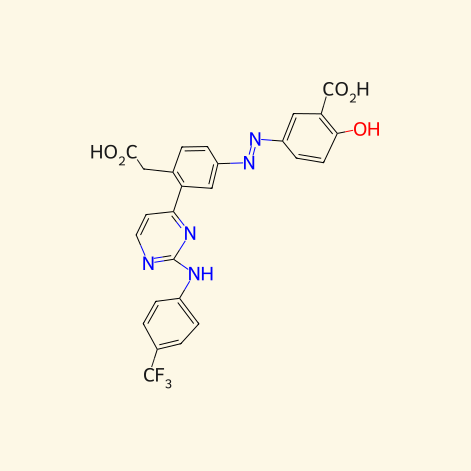 O=C(O)Cc1ccc(/N=N/c2ccc(O)c(C(=O)O)c2)cc1-c1ccnc(Nc2ccc(C(F)(F)F)cc2)n1